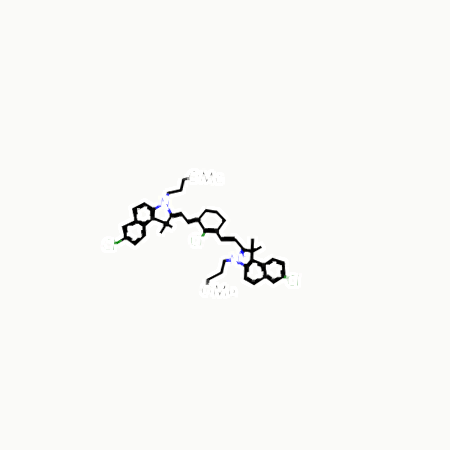 COCCCN1/C(=C/C=C2\CCCC(/C=C/C3=[N+](CCCOC)c4ccc5cc(Cl)ccc5c4C3(C)C)=C2Cl)C(C)(C)c2c1ccc1cc(Cl)ccc21